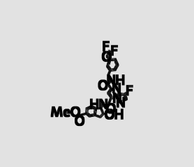 COC(=O)c1ccc2c(c1)C[C@H](O)[C@@H]2NC(=O)c1cc(C(=O)NCc2cccc(OC(F)F)c2)nc2c(F)cnn12